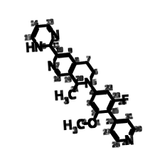 COc1cc(N2CCc3cc(C4N=CC=CN4)ncc3C2C)cc(F)c1-c1ccncc1